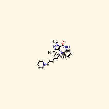 Cc1nn(C)c2c1N(C(C)(C)CCCCCN1CCCCC1)c1ccccc1NC2=O